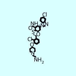 C[C@@H](OC1C=C(n2cnc3cc(Cl)ccc32)C=C(C(N)=O)C1=S)c1cccc(OC2CCN(CCN)CC2)c1Cl